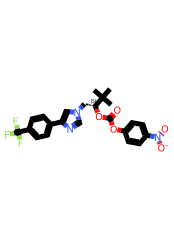 CC(C)(C)[C@@H](Cn1cnc(-c2ccc(C(F)(F)F)cc2)c1)OC(=O)Oc1ccc([N+](=O)[O-])cc1